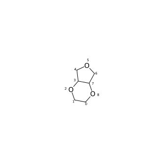 C1COC2COCC2O1